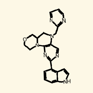 c1cnc(CN2CC3COCCN3c3nc(-c4cccc5[nH]ccc45)ncc32)nc1